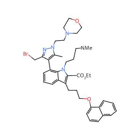 CCOC(=O)c1c(CCCOc2cccc3ccccc23)c2cccc(-c3c(CBr)nn(CCN4CCOCC4)c3C)c2n1CCCNC